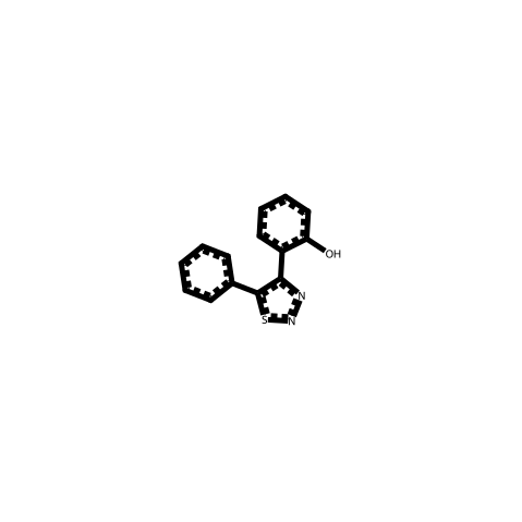 Oc1ccccc1-c1nnsc1-c1ccccc1